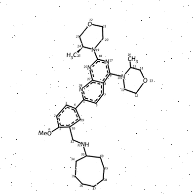 COc1ccc(-c2ccc3c(N4CCOCC4C)nc(N4CCOC[C@@H]4C)nc3n2)cc1CNC1CCCCCCC1